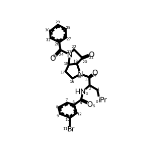 CC(C)CC(NC(=O)c1cccc(Br)c1)C(=O)N1CCC2C1C(=O)CN2C(=O)c1ccccc1